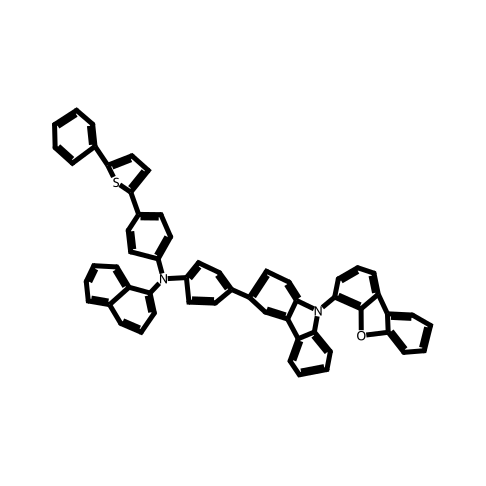 c1ccc(-c2ccc(-c3ccc(N(c4ccc(-c5ccc6c(c5)c5ccccc5n6-c5cccc6c5oc5ccccc56)cc4)c4cccc5ccccc45)cc3)s2)cc1